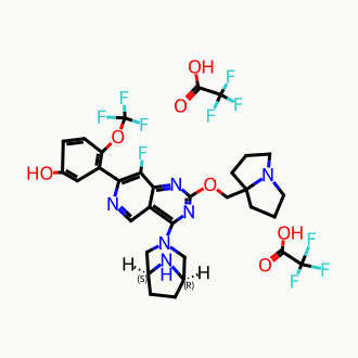 O=C(O)C(F)(F)F.O=C(O)C(F)(F)F.Oc1ccc(OC(F)(F)F)c(-c2ncc3c(N4C[C@H]5CC[C@@H](C4)N5)nc(OCC45CCCN4CCC5)nc3c2F)c1